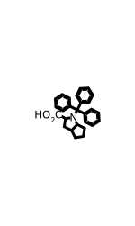 O=C(O)C1CC2CCCC2N1C(c1ccccc1)(c1ccccc1)c1ccccc1